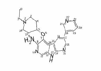 CCN1CCC(Oc2c(N)ncc3[nH]c4ncc(-c5cccnc5)cc4c23)CC1